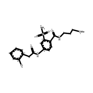 COCCCNC(=O)c1ccc(NC(=O)Cc2ccccc2Cl)cc1S(N)(=O)=O